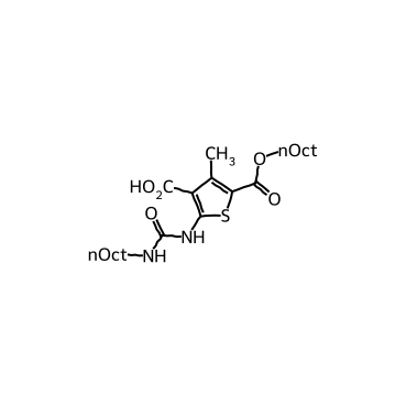 CCCCCCCCNC(=O)Nc1sc(C(=O)OCCCCCCCC)c(C)c1C(=O)O